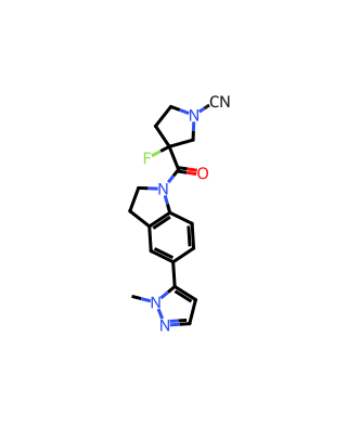 Cn1nccc1-c1ccc2c(c1)CCN2C(=O)C1(F)CCN(C#N)C1